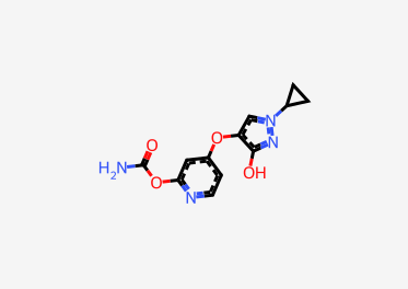 NC(=O)Oc1cc(Oc2cn(C3CC3)nc2O)ccn1